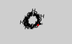 CC(C)CC1C(=O)C2CC(CN2)C(=O)NC(C(C)C)C(=O)OC(C(C)C)C(=O)N2NCCCC2C(=O)N2CC(CCN2)C(=O)N1C